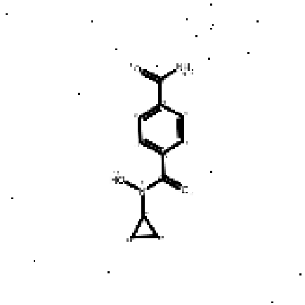 NC(=O)c1ccc(C(=O)N(O)C2CC2)cc1